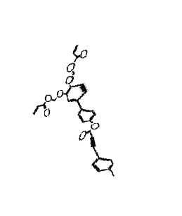 C=CC(=O)OCOc1ccc(-c2ccc(OC(=O)C#Cc3ccc(C)cc3)cc2)cc1OCOC(=O)C=C